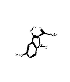 CNC(=O)c1c(OC(C)C)c2cc(OC)ccc2[s+]1[O-]